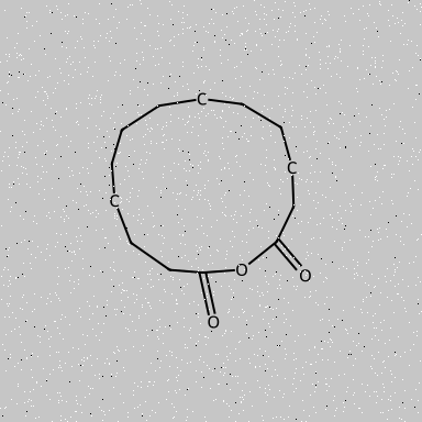 O=C1CCCCCCCCCCCC(=O)O1